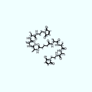 CC(NC(=O)CCCC(=O)NC(C)C(=O)NC(C)C(=O)NC(C)C(=O)NCCN1C(=O)C=CC1=O)C(=O)NC(C)C(=O)NC(C)C(=O)NCCN1C(=O)C=CC1=O